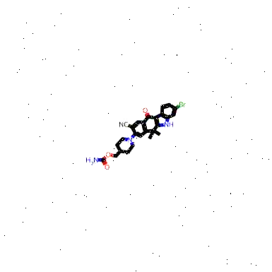 CC1(C)c2cc(N3CCC(COC(N)=O)CC3)c(C#N)cc2C(=O)c2c1[nH]c1cc(Br)ccc21